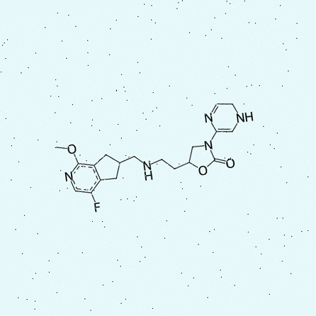 COc1ncc(F)c2c1CC(CNCCC1CN(C3=CNCC=N3)C(=O)O1)C2